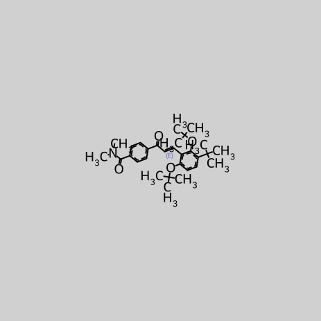 CN(C)C(=O)c1ccc(C(=O)/C=C/c2c(OC(C)(C)C)ccc(C(C)(C)C)c2OC(C)(C)C)cc1